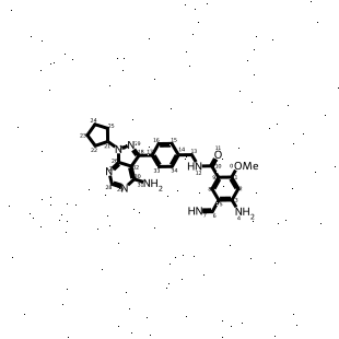 COc1cc(N)c(C=N)cc1C(=O)NCc1ccc(-c2nn(C3CCCC3)c3ncnc(N)c23)cc1